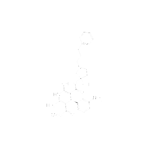 COC(=O)C1=C(C)NC(C)=C(C(=O)OC2(C)CCN(CCCc3ccccc3)C2)[C@H]1c1cccc([N+](=O)[O-])c1